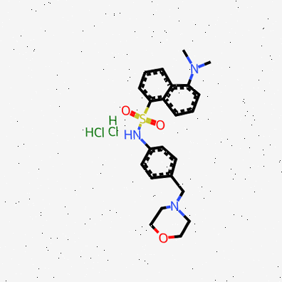 CN(C)c1cccc2c(S(=O)(=O)Nc3ccc(CN4CCOCC4)cc3)cccc12.Cl.Cl